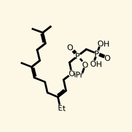 CCC(=CCOCP(=O)(CP(=O)(O)O)OC(C)C)CCC=C(C)CCC=C(C)C